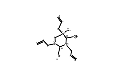 C=CCN1C[N+]([O-])(CC=C)C(O)N(CC=C)C1O